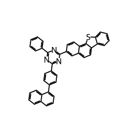 c1ccc(-c2nc(-c3ccc(-c4cccc5ccccc45)cc3)nc(-c3ccc4c(ccc5c6ccccc6sc45)c3)n2)cc1